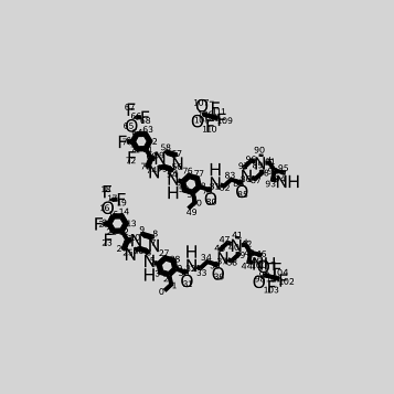 CCc1cc(Nc2nccn3c(-c4ccc(OC(F)F)c(F)c4F)cnc23)ccc1C(=O)NCCC(=O)N1CC[N+](C)(CC2CNC2)CC1.CCc1cc(Nc2nccn3c(-c4ccc(OC(F)F)c(F)c4F)cnc23)ccc1C(=O)NCCC(=O)N1CC[N+](C)(CC2CNC2)CC1.O=C([O-])C(F)(F)F.O=C([O-])C(F)(F)F